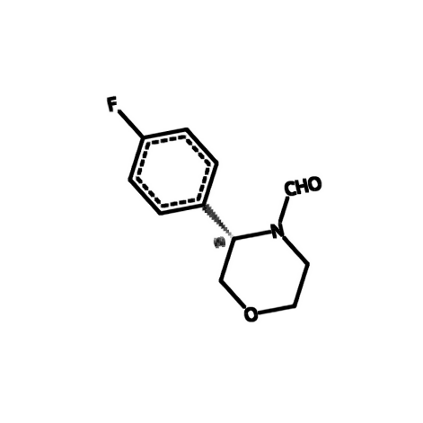 O=CN1CCOC[C@@H]1c1ccc(F)cc1